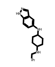 CC(C)CNC1CCC(Nc2ccc3[nH]ncc3c2)CC1